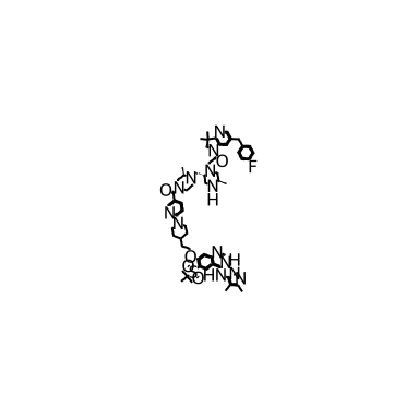 Cc1n[nH]c(Nc2ncnc3cc(OCCC4CCN(c5ccc(C(=O)N6CCN(C[C@H]7CN[C@H](C)CN7CC(=O)N7CC(C)(C)c8ncc(Cc9ccc(F)cc9)cc87)[C@H](C)C6)cn5)CC4)c(S(=O)(=O)C(C)(C)C)cc23)c1C